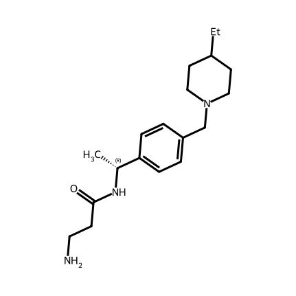 CCC1CCN(Cc2ccc([C@@H](C)NC(=O)CCN)cc2)CC1